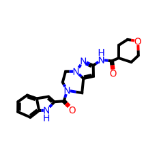 O=C(Nc1cc2n(n1)CCN(C(=O)c1cc3ccccc3[nH]1)C2)C1CCOCC1